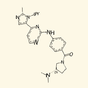 Cc1ncc(-c2ccnc(Nc3ccc(C(=O)N4CC[C@H](N(C)C)C4)cc3)n2)n1C(C)C